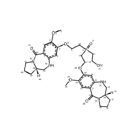 COc1cc2c(cc1OCCP(=O)(CCO)CCOc1cc3c(cc1OC)C(=O)N1CCC[C@H]1CN3)NC[C@@H]1CCCN1C2=O